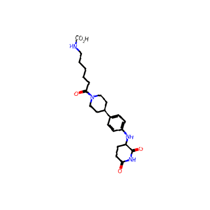 O=C(O)NCCCCCC(=O)N1CCC(c2ccc(NC3CCC(=O)NC3=O)cc2)CC1